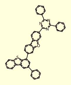 c1ccc(-c2cc(-c3ccc4c(c3)oc3cc(-c5nc(-c6ccccc6)nc(-c6ccccc6)n5)ccc34)c3sc4ccccc4c3c2)cc1